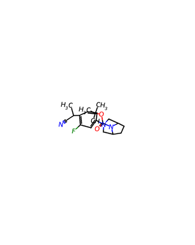 CC(C#N)c1ccc(N2CC3CCC(C2)N3C(=O)OC(C)(C)C)cc1F